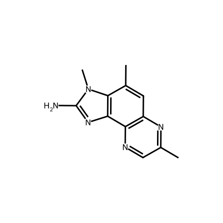 Cc1cnc2c(cc(C)c3c2nc(N)n3C)n1